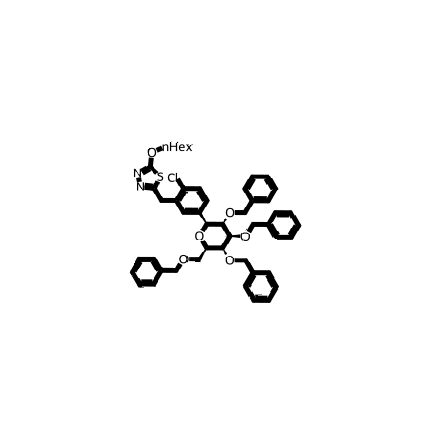 CCCCCCOc1nnc(Cc2cc([C@@H]3O[C@H](COCc4ccccc4)[C@@H](OCc4ccccc4)[C@H](OCc4ccccc4)[C@H]3OCc3ccccc3)ccc2Cl)s1